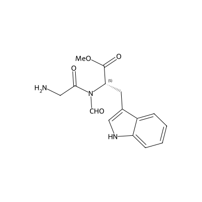 COC(=O)[C@H](Cc1c[nH]c2ccccc12)N(C=O)C(=O)CN